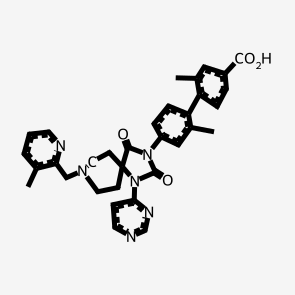 Cc1cc(C(=O)O)ccc1-c1ccc(N2C(=O)N(c3ccncn3)C3(CCN(Cc4ncccc4C)CC3)C2=O)cc1C